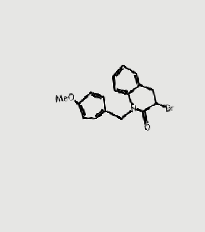 COc1ccc(CN2C(=O)C(Br)Cc3ccccc32)cc1